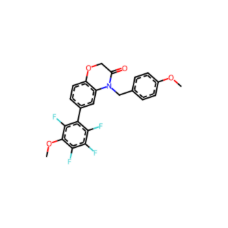 COc1ccc(CN2C(=O)COc3ccc(-c4c(F)c(F)c(F)c(OC)c4F)cc32)cc1